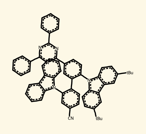 CC(C)(C)c1ccc2c(c1)c1cc(C(C)(C)C)ccc1n2-c1ccc(-c2nc(-c3ccccc3)nc(-c3ccccc3)n2)cc1-c1ccc(C#N)cc1-n1c2ccccc2c2ccccc21